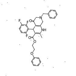 CC1=C(C(=O)OCCOc2ccccc2)C(c2c(F)ccc(F)c2F)C2=C(CN(Cc3ccccc3)CC2=O)N1